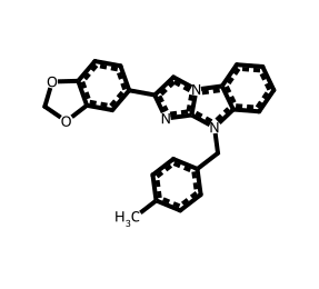 Cc1ccc(Cn2c3ccccc3n3cc(-c4ccc5c(c4)OCO5)nc23)cc1